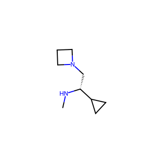 CN[C@H](CN1CCC1)C1CC1